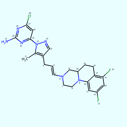 Cc1c(CC=CN2CCN3c4cc(F)cc(F)c4CCC3C2)cnn1-c1cc(Cl)nc(N)n1